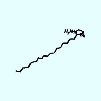 CCCCCCCCC=CCCCCCCCCC1=NCCN1N